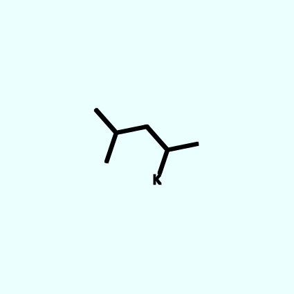 CC(C)C[CH](C)[K]